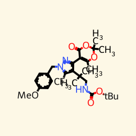 COc1ccc(Cn2nc(C3=C(C)OC(C)(C)OC3=O)c(C(C)(C)CNC(=O)OC(C)(C)C)c2C(F)(F)F)cc1